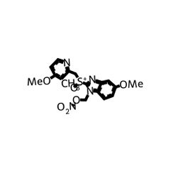 COc1ccc2c(c1)nc([S+]([O-])Cc1nccc(OC)c1C)n2CO[N+](=O)[O-]